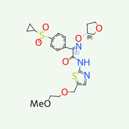 COCCOCc1cnc(NC(=O)/C(=N/O[C@@H]2CCOC2)c2ccc(S(=O)(=O)C3CC3)cc2)s1